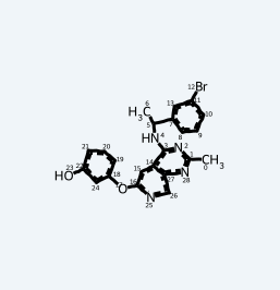 Cc1nc(NC(C)c2cccc(Br)c2)c2cc(Oc3cccc(O)c3)ncc2n1